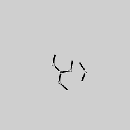 COP(OC)OC.CSC